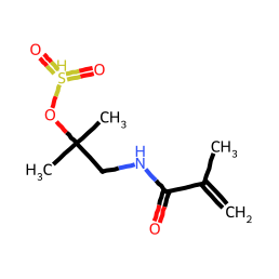 C=C(C)C(=O)NCC(C)(C)O[SH](=O)=O